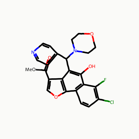 COC(=O)c1coc2c1c(C(c1ccncc1)N1CCOCC1)c(O)c1c(F)c(Cl)ccc12